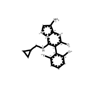 Nc1cnn2c(NCC3CC3)c(-c3c(F)cccc3Cl)c(Cl)nc12